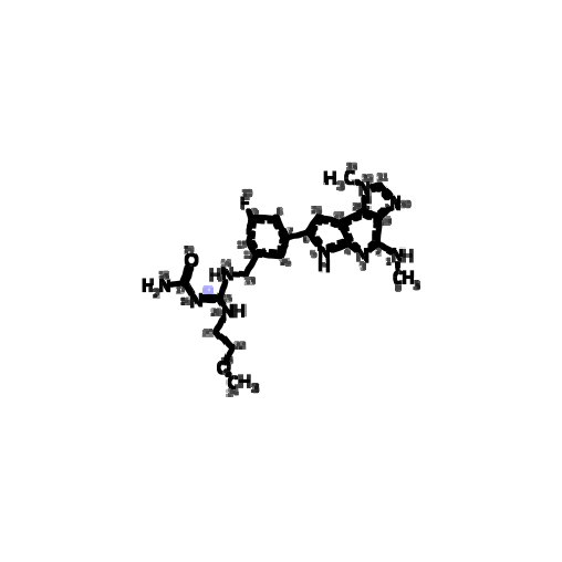 CNc1nc2[nH]c(-c3cc(F)cc(CN/C(=N\C(N)=O)NCCOC)c3)cc2c2c1ncn2C